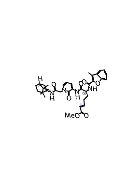 COC(=O)/C=C/CC[C@H](NC(=O)c1oc2ccccc2c1C)C(=O)Nc1cccn(CC(=O)N[C@@H]2C[C@H]3CC[C@]2(C)C3(C)C)c1=O